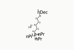 CCCCCCCCCCCCCCCC[P+](CCC)(CCC)CCC.[I-]